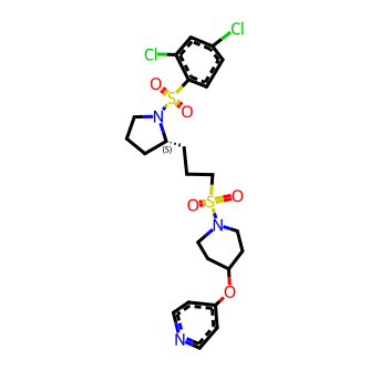 O=S(=O)(CCC[C@@H]1CCCN1S(=O)(=O)c1ccc(Cl)cc1Cl)N1CCC(Oc2ccncc2)CC1